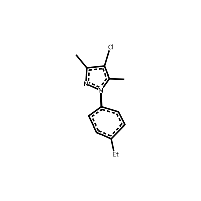 [CH2]Cc1ccc(-n2nc(C)c(Cl)c2C)cc1